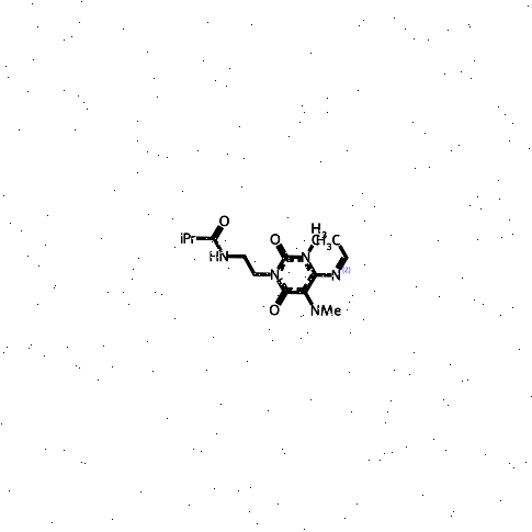 C/C=N\c1c(NC)c(=O)n(CCNC(=O)C(C)C)c(=O)n1C